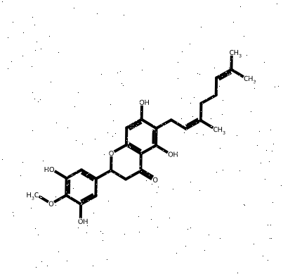 COc1c(O)cc(C2CC(=O)c3c(cc(O)c(CC=C(C)CCC=C(C)C)c3O)O2)cc1O